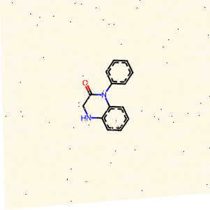 O=C1CNc2ccccc2N1c1ccccc1